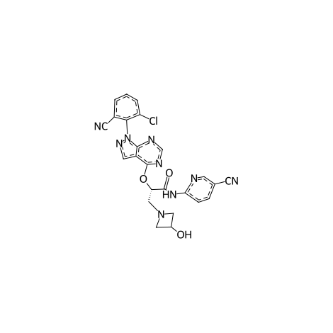 N#Cc1ccc(NC(=O)[C@H](CN2CC(O)C2)Oc2ncnc3c2cnn3-c2c(Cl)cccc2C#N)nc1